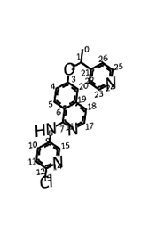 CC(Oc1ccc2c(Nc3ccc(Cl)nc3)nccc2c1)c1ccncc1